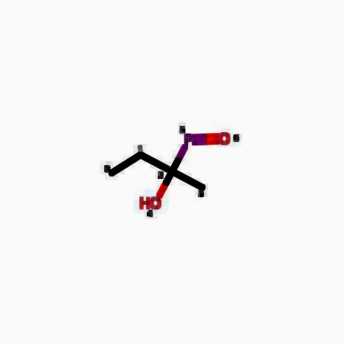 CCC(C)(O)P=O